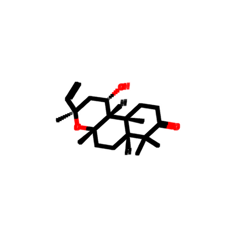 C=C[C@@]1(C)C[C@H](O)[C@@H]2[C@]3(C)CCC(=O)C(C)(C)[C@@H]3CC[C@]2(C)O1